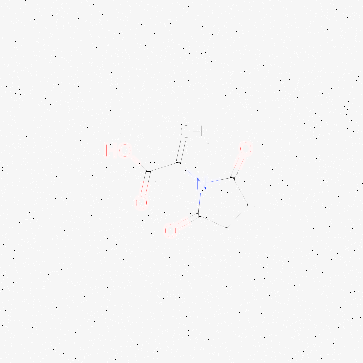 C=C(C(=O)O)N1C(=O)CCC1=O